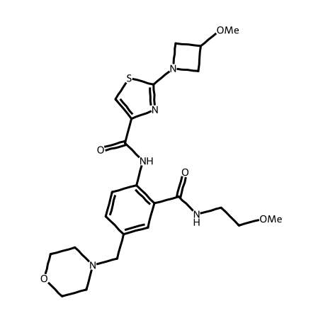 COCCNC(=O)c1cc(CN2CCOCC2)ccc1NC(=O)c1csc(N2CC(OC)C2)n1